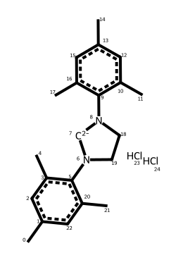 Cc1cc(C)c(N2[C-2]N(c3c(C)cc(C)cc3C)CC2)c(C)c1.Cl.Cl